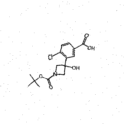 CC(C)(C)OC(=O)N1CC(O)(c2cc(C(=O)O)ccc2Cl)C1